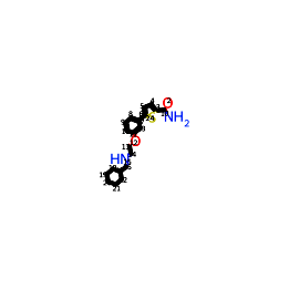 NC(=O)c1ccc(-c2cccc(OCCNCC3CCCCC3)c2)s1